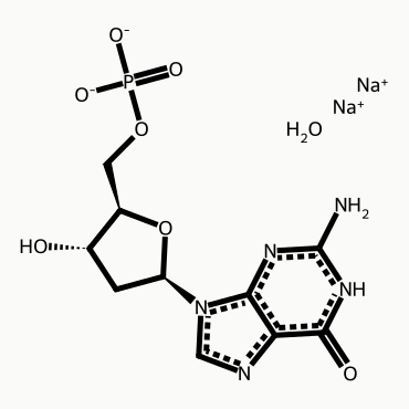 Nc1nc2c(ncn2[C@H]2C[C@H](O)[C@@H](COP(=O)([O-])[O-])O2)c(=O)[nH]1.O.[Na+].[Na+]